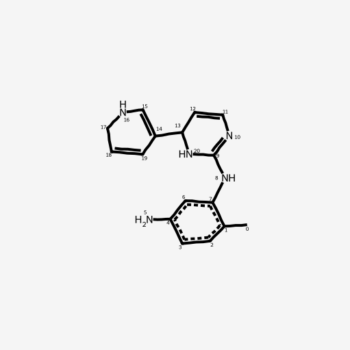 Cc1ccc(N)cc1NC1=NC=CC(C2=CNCC=C2)N1